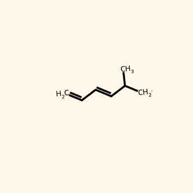 [CH2]C(C)/C=C/C=C